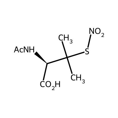 CC(=O)N[C@H](C(=O)O)C(C)(C)S[N+](=O)[O-]